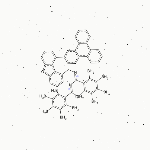 Bc1c(B)c(B)c(/C(N)=N/C(=N\Cc2cccc3oc4cccc(-c5ccc6c7ccccc7c7ccccc7c6c5)c4c23)c2c(B)c(B)c(B)c(B)c2B)c(B)c1B